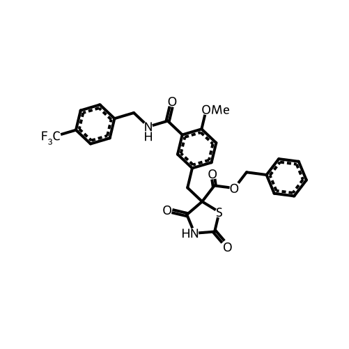 COc1ccc(CC2(C(=O)OCc3ccccc3)SC(=O)NC2=O)cc1C(=O)NCc1ccc(C(F)(F)F)cc1